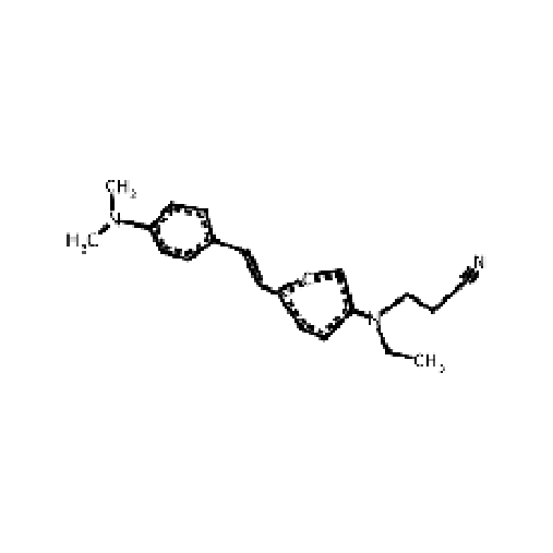 CCN(CCC#N)c1ccc(C=Cc2ccc(N(C)C)cc2)cc1